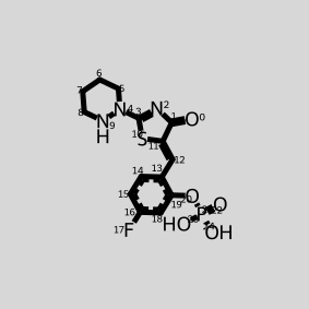 O=C1N=C(N2CCCCN2)SC1=Cc1ccc(F)cc1OP(=O)(O)O